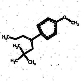 CCCN(CC(C)(C)C)c1ccc(OC)cc1